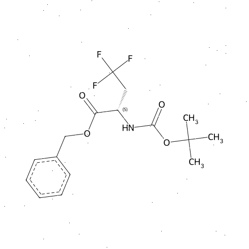 CC(C)(C)OC(=O)N[C@@H](CC(F)(F)F)C(=O)OCc1ccccc1